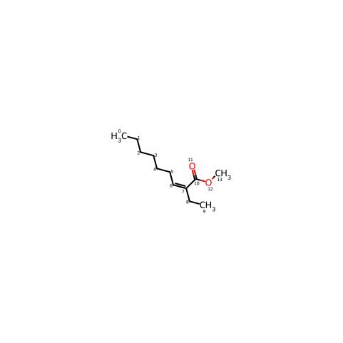 CCCCCCC=C(CC)C(=O)OC